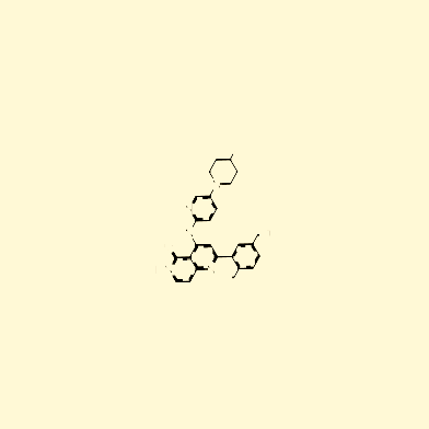 CC(C)c1ccc(Cl)c(-c2cc(Nc3ccc(N4CCC(O)CC4)cn3)c3c(=O)[nH]ccc3n2)c1